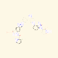 CN(C[C@H]1CC[C@H](n2cc3cc(NC(=O)c4ncccc4Cl)c(C(C)(C)O)cc3n2)CC1)C1CCN(c2cccc3c2n(C)c(=O)n3C2CCC(=O)NC2=O)CC1